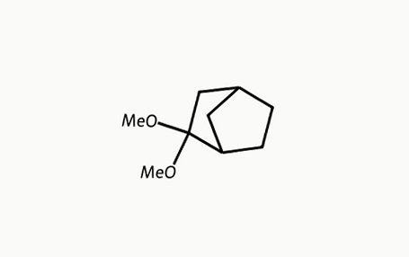 COC1(OC)CC2CCC1C2